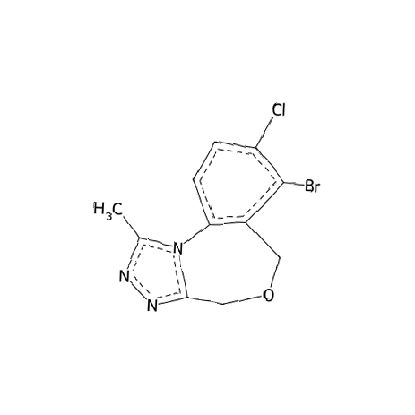 Cc1nnc2n1-c1ccc(Cl)c(Br)c1COC2